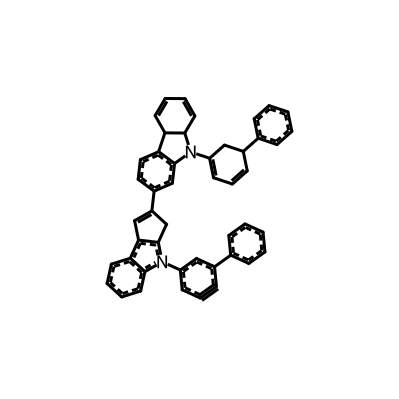 c1cc(-n2c3c(c4ccccc42)C=C(c2ccc4c(c2)N(C2=CC=CC(c5ccccc5)C2)C2C=CC=CC42)C3)cc(-c2ccccc2)c#1